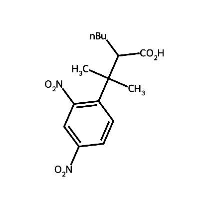 CCCCC(C(=O)O)C(C)(C)c1ccc([N+](=O)[O-])cc1[N+](=O)[O-]